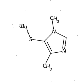 Cc1ncn(C)c1SC(C)(C)C